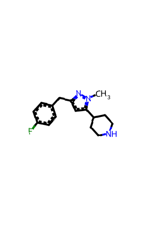 Cn1nc(Cc2ccc(F)cc2)cc1C1CCNCC1